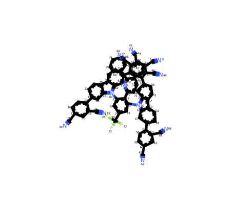 N#Cc1ccc(-c2ccc3c4ccc(-c5ccc(C#N)cc5C#N)cc4n(-c4cc(C(F)(F)F)cc(-n5c6cc(-c7ccc(C#N)cc7C#N)ccc6c6ccc(-c7ccc(C#N)cc7C#N)cc65)c4-c4cccc(-c5ccccc5)n4)c3c2)c(C#N)c1